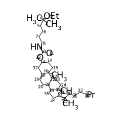 CCOC(C)(C)CCCCNC(=O)OC1CCC2(C)C(=CCC3C2CCC2(C)C(C(C)CCCC(C)C)CCC32)C1